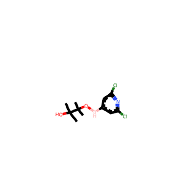 CC(C)(O)C(C)(C)OBc1cc(Cl)nc(Cl)c1